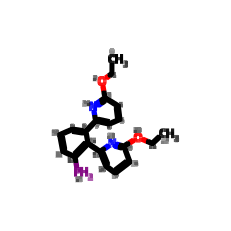 CCOc1cccc(-c2cccc(P)c2-c2cccc(OCC)n2)n1